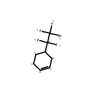 FC(F)(Br)C(F)(F)C1CC=CCC1